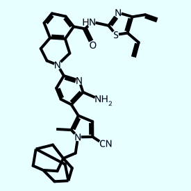 C=Cc1nc(NC(=O)c2cccc3c2CN(c2ccc(-c4cc(C#N)n(CC56CC7CC(CC(C7)C5)C6)c4C)c(N)n2)CC3)sc1C=C